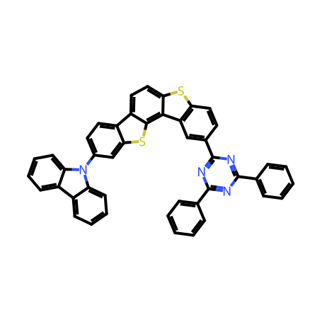 c1ccc(-c2nc(-c3ccccc3)nc(-c3ccc4sc5ccc6c7ccc(-n8c9ccccc9c9ccccc98)cc7sc6c5c4c3)n2)cc1